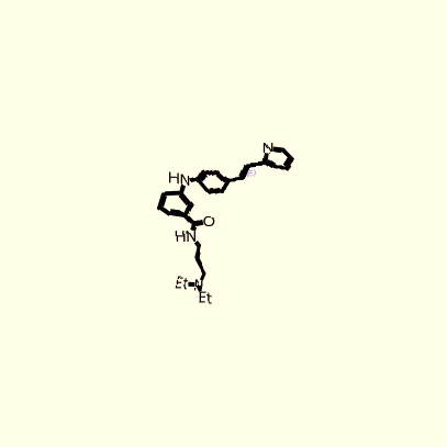 CCN(CC)CCCNC(=O)c1cccc(Nc2ccc(/C=C/c3ccccn3)cc2)c1